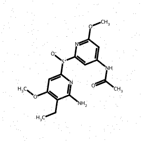 CCc1c(OC)cc([S+]([O-])c2cc(NC(C)=O)cc(OC)n2)nc1N